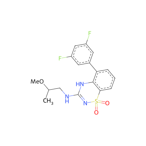 COC(C)CNC1=NS(=O)(=O)c2cccc(-c3cc(F)cc(F)c3)c2N1